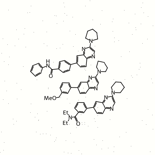 CCN(CC)C(=O)c1cccc(-c2ccc3ncc(N4CCCCC4)nc3c2)c1.COCc1cccc(-c2ccc3ncc(N4CCCCC4)nc3c2)c1.O=C(Nc1ccccc1)c1ccc(-c2ccc3ncc(N4CCCCC4)nc3c2)cc1